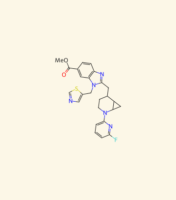 COC(=O)c1ccc2nc(CC3CCN(c4cccc(F)n4)C4CC34)n(Cc3cncs3)c2c1